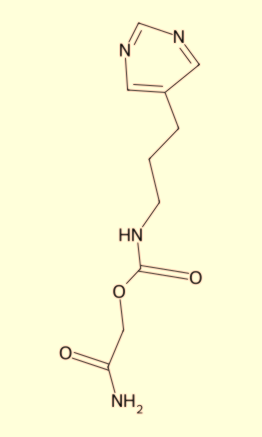 NC(=O)COC(=O)NCCCc1cncnc1